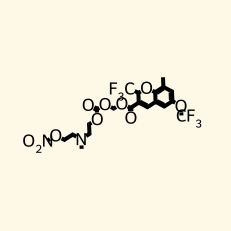 Cc1cc(OC(F)(F)F)cc2c1OC(C(F)(F)F)C(C(=O)OCOC(=O)OCCN(C)CCO[N+](=O)[O-])=C2